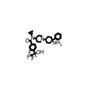 C[C@](O)(c1ccc(C(=O)N(C2CC2)C2CCN(C3CCC(N)(c4ccccc4)CC3)CC2)cc1)C(F)(F)F